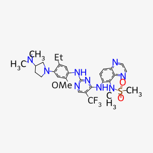 CCc1cc(Nc2ncc(C(F)(F)F)c(Nc3ccc4nccnc4c3N(C)S(C)(=O)=O)n2)c(OC)cc1N1CCC(N(C)C)C1